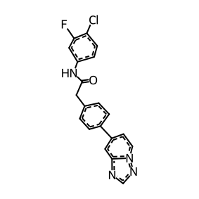 O=C(Cc1ccc(-c2ccn3ncnc3c2)cc1)Nc1ccc(Cl)c(F)c1